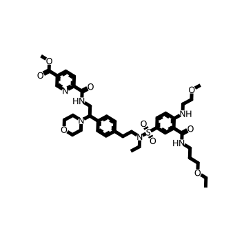 CCOCCCNC(=O)c1cc(S(=O)(=O)N(CC)CCc2ccc(C(CNC(=O)c3ccc(C(=O)OC)cn3)N3CCOCC3)cc2)ccc1NCCOC